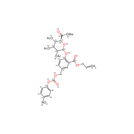 C=CCOC(=O)c1cc(COC(=O)Oc2ccc([N+](=O)[O-])cc2)ccc1OC1O[C@H](C(=O)OC)C(OC(C)=O)C(OC(C)=O)C1OC(C)=O